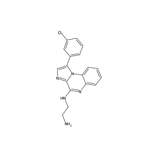 NCCNc1nc2ccccc2n2c(-c3cccc(Cl)c3)cnc12